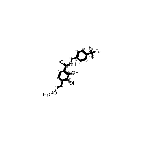 COOCc1ccc(C(=O)NCc2ccc(C(F)(F)F)cc2)c(O)c1O